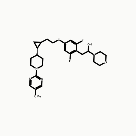 COc1cnc(N2CCC([C@H]3CC3CCOc3cc(F)c(CC(O)N4CCOCC4)c(F)c3)CC2)nc1